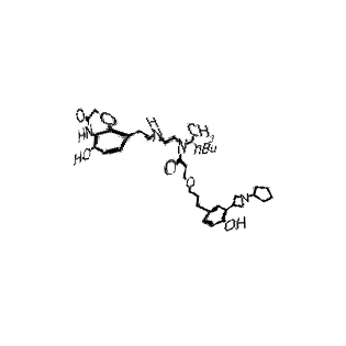 CCCC[C@@H](C)N(CCNCCc1ccc(O)c2c1OCC(=O)N2)C(=O)CCOCCCc1ccc(O)c(C2CN(C3CCCC3)C2)c1